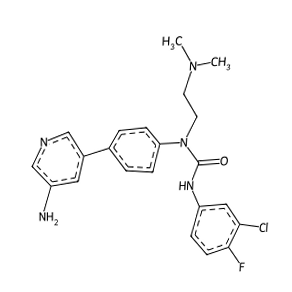 CN(C)CCN(C(=O)Nc1ccc(F)c(Cl)c1)c1ccc(-c2cncc(N)c2)cc1